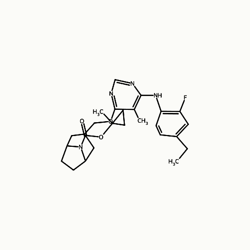 CCc1ccc(Nc2ncnc(OCC3CC4CCC(C3)N4C(=O)OC3(C)CC3)c2C)c(F)c1